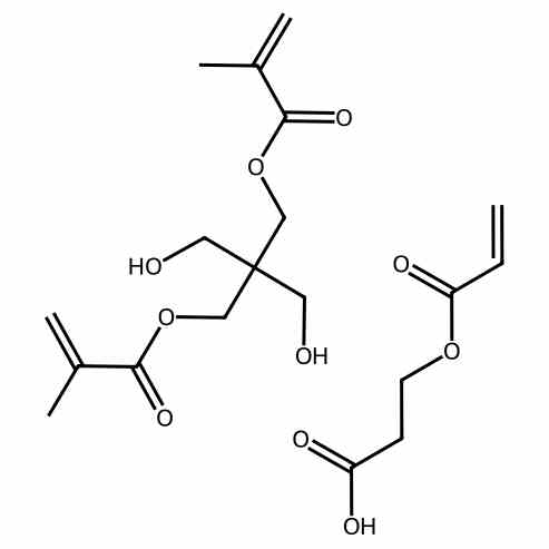 C=C(C)C(=O)OCC(CO)(CO)COC(=O)C(=C)C.C=CC(=O)OCCC(=O)O